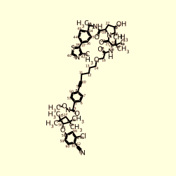 CON(C(=O)c1ccc(C#CCCCCOCC(=O)N[C@H](C(=O)N2C[C@H](O)CC2C(=O)N[C@@H](C)c2ccc(-c3scnc3C)cc2)C(C)(C)C)cc1)[C@H]1C(C)(C)[C@H](Oc2ccc(C#N)c(Cl)c2)C1(C)C